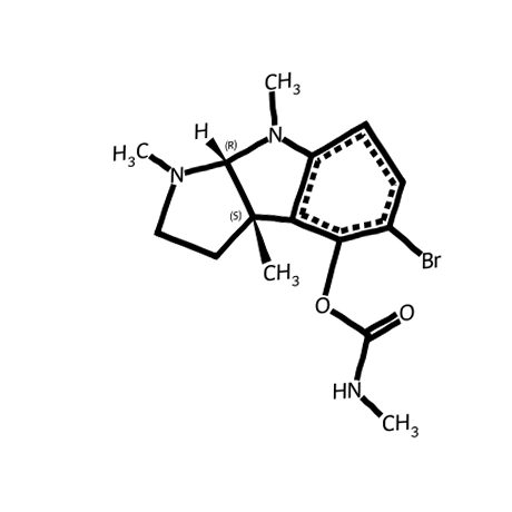 CNC(=O)Oc1c(Br)ccc2c1[C@]1(C)CCN(C)[C@@H]1N2C